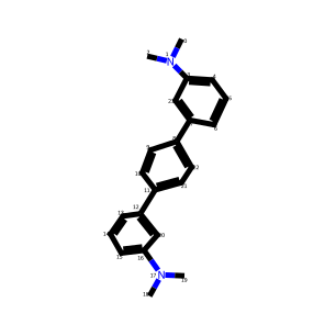 CN(C)c1cccc(-c2ccc(-c3cccc(N(C)C)c3)cc2)c1